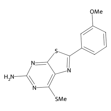 COc1cccc(-c2nc3c(SC)nc(N)nc3s2)c1